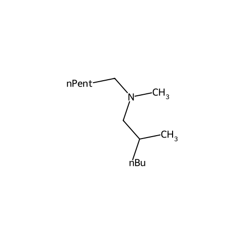 CCCCCCN(C)CC(C)CCCC